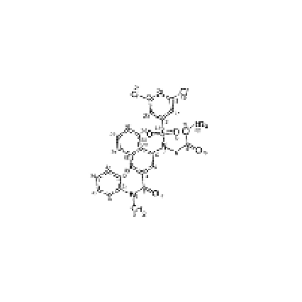 CN(C(=O)c1cc(N(CC(=O)OC(C)(C)C)S(=O)(=O)c2cc(Cl)cc(Cl)c2)c2ccccc2c1)c1ccccc1